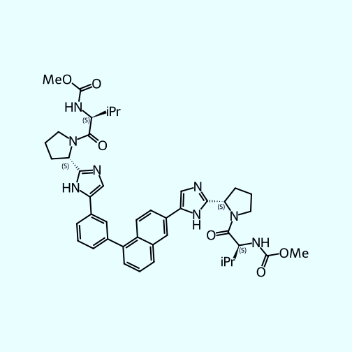 COC(=O)N[C@H](C(=O)N1CCC[C@H]1c1ncc(-c2cccc(-c3cccc4cc(-c5cnc([C@@H]6CCCN6C(=O)[C@@H](NC(=O)OC)C(C)C)[nH]5)ccc34)c2)[nH]1)C(C)C